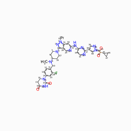 CC(C)n1nc(N2CCC(N(C)Cc3ccc(N4CCC(=O)NC4=O)cc3F)CC2)c2cnc(Nc3ccnc(-c4cnn(S(=O)(=O)C5CC5)c4)n3)cc21